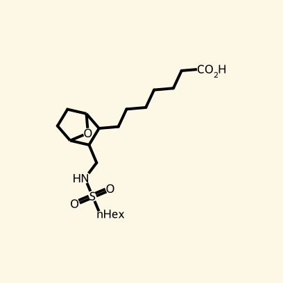 CCCCCCS(=O)(=O)NCC1C2CCC(O2)C1CCCCCCC(=O)O